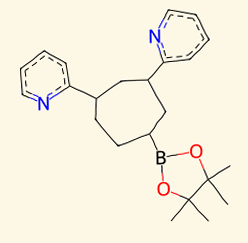 CC1(C)OB(C2CCC(c3ccccn3)CC(c3ccccn3)C2)OC1(C)C